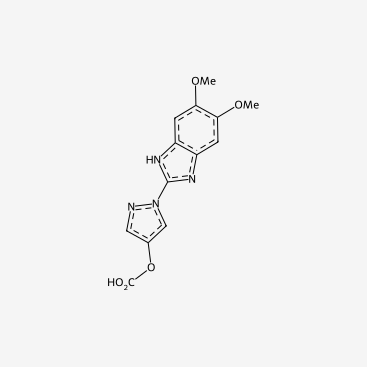 COc1cc2nc(-n3cc(OC(=O)O)cn3)[nH]c2cc1OC